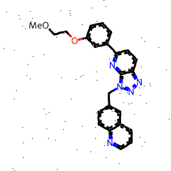 COCCOc1cccc(-c2ccc3nnn(Cc4ccc5ncccc5c4)c3n2)c1